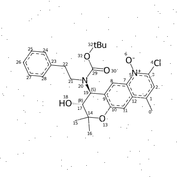 Cc1cc(Cl)[n+]([O-])c2cc3c(cc12)OC(C)(C)[C@H](O)[C@H]3N(CCc1ccccc1)C(=O)OC(C)(C)C